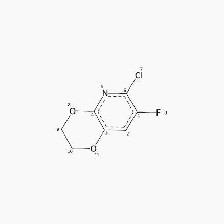 Fc1cc2c(nc1Cl)OCCO2